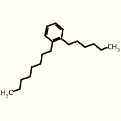 CCCCCCCCc1[c]cccc1CCCCCC